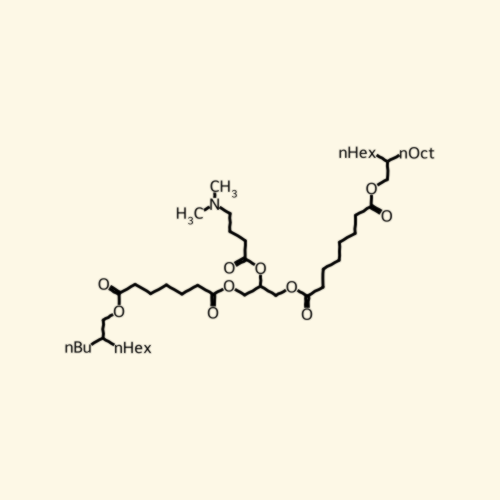 CCCCCCCCC(CCCCCC)COC(=O)CCCCCCC(=O)OCC(COC(=O)CCCCCC(=O)OCC(CCCC)CCCCCC)OC(=O)CCCN(C)C